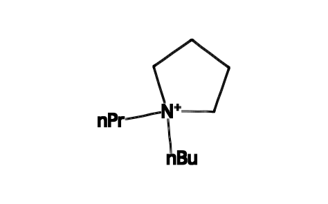 CCCC[N+]1(CCC)CCCC1